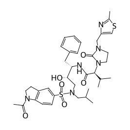 CC(=O)N1CCc2cc(S(=O)(=O)N(CC(C)C)C[C@H](O)[C@H](Cc3ccccc3)NC(=O)[C@H](C(C)C)N3CCN(Cc4csc(C)n4)C3=O)ccc21